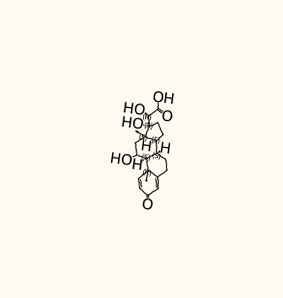 C[C@]12C=CC(=O)C=C1CC[C@@H]1[C@@H]2C(O)C[C@@]2(C)[C@H]1CC[C@]2(O)[C@@H](O)C(=O)O